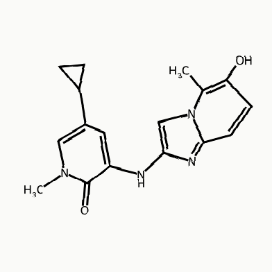 Cc1c(O)ccc2nc(Nc3cc(C4CC4)cn(C)c3=O)cn12